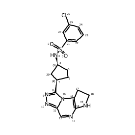 O=S(=O)(N[C@H]1CC[C@@H](c2nnc3cnc4c(n23)CCN4)C1)c1cccc(Cl)c1